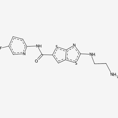 NCCNc1nc2sc(C(=O)Nc3ccc(F)cn3)cc2s1